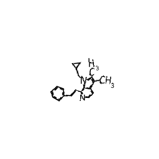 Cc1c(C)n(CC2CC2)c2c(C=Cc3ccccc3)nccc12